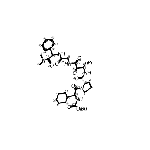 CCCC(NC(=O)[C@@H]1CCCN1C(=O)C(NC(=O)OCC(C)C)C1CCCCC1)C(=O)C(=O)NCC(=O)NC(C(=O)N(C)C)c1ccccc1